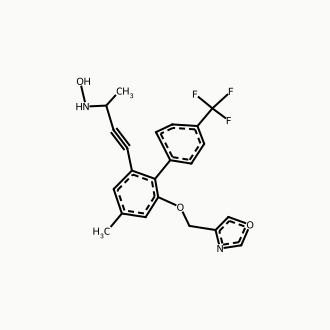 Cc1cc(C#CC(C)NO)c(-c2ccc(C(F)(F)F)cc2)c(OCc2cocn2)c1